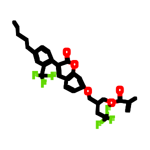 C=C(C)C(=O)OCC(COc1ccc2cc(-c3ccc(CCCCC)cc3C(F)(F)F)c(=O)oc2c1)CC(F)(F)F